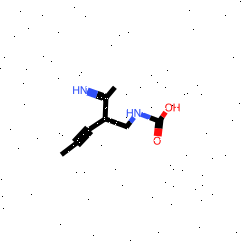 CC#CC(CNC(=O)O)C(C)=N